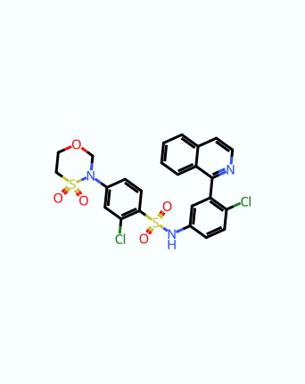 O=S(=O)(Nc1ccc(Cl)c(-c2nccc3ccccc23)c1)c1ccc(N2COCCS2(=O)=O)cc1Cl